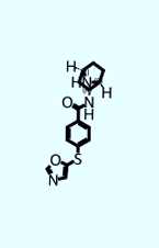 O=C(N[C@@H]1C[C@H]2CC[C@@H]1N2)c1ccc(Sc2cnco2)cc1